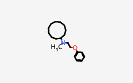 CN(CCOc1ccccc1)C1CCCCCCCCCC1